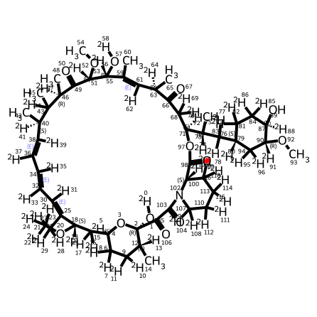 [2H]O[C@@]12O[C@@]([2H])(C([2H])([2H])C([2H])([2H])[C@@]1([2H])C)C([2H])([2H])[C@]([2H])(OC([2H])([2H])[2H])/C(C([2H])([2H])[2H])=C([2H])/C([2H])=C([2H])/C([2H])=C(\[2H])[C@@]([2H])(C)C([2H])(C)[C@@]([2H])(C)C(=O)[C@]([2H])(OC)[C@]([2H])(O[2H])/C(C)=C(\[2H])[C@@]([2H])(C)C(=O)C([2H])([2H])[C@@]([2H])([C@]([2H])(C)C([2H])([2H])[C@]1([2H])C([2H])([2H])C([2H])([2H])[C@@]([2H])(O)[C@]([2H])(OC)C1([2H])[2H])OC(=O)[C@@]1([2H])N(C(=O)C2=O)C([2H])([2H])C([2H])([2H])C([2H])([2H])C1([2H])[2H]